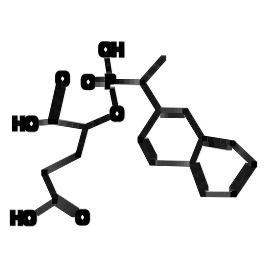 CC(c1ccc2ccccc2c1)P(=O)(O)OC(CCC(=O)O)C(=O)O